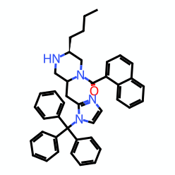 CCCC[C@H]1CN(C(=O)c2cccc3ccccc23)C(Cc2nccn2C(c2ccccc2)(c2ccccc2)c2ccccc2)CN1